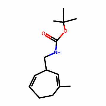 CC1=CC(CNC(=O)OC(C)(C)C)C=CCC1